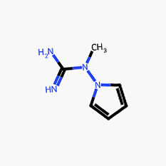 CN(C(=N)N)n1cccc1